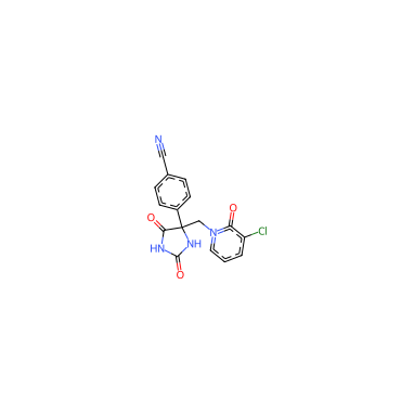 N#Cc1ccc(C2(Cn3cccc(Cl)c3=O)NC(=O)NC2=O)cc1